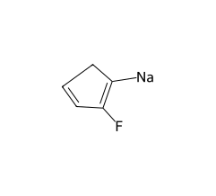 FC1=[C]([Na])CC=C1